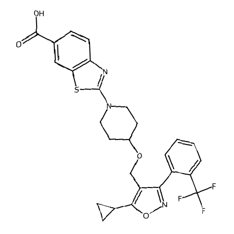 O=C(O)c1ccc2nc(N3CCC(OCc4c(-c5ccccc5C(F)(F)F)noc4C4CC4)CC3)sc2c1